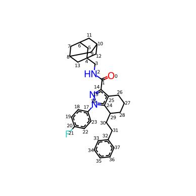 O=C(NCC12CC3CC(CC(C3)C1)C2)c1nn(-c2ccc(F)cc2)c2c1CCCC2CCc1ccccc1